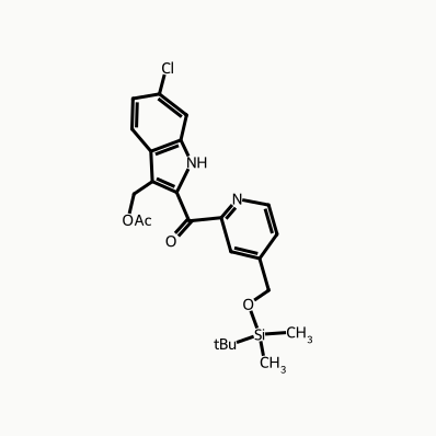 CC(=O)OCc1c(C(=O)c2cc(CO[Si](C)(C)C(C)(C)C)ccn2)[nH]c2cc(Cl)ccc12